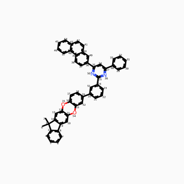 CC1(C)c2ccccc2-c2cc3c(cc21)Oc1ccc(-c2cccc(-c4nc(-c5ccccc5)cc(-c5ccc6c(ccc7ccccc76)c5)n4)c2)cc1O3